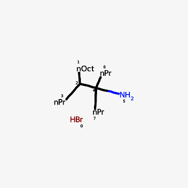 Br.CCCCCCCCC(CCC)C(N)(CCC)CCC